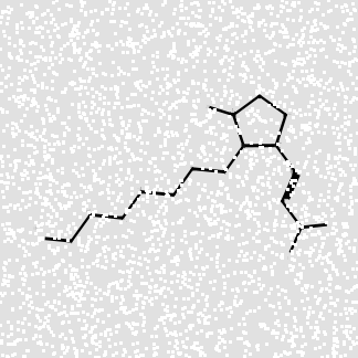 CCCCCCC(O)C=CC1CCC(O)C1CCCCCCCC(=O)O